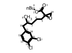 CCCCOC(=O)C1(CCCC(C)Cc2ccc(Cl)c(Cl)c2)CO1